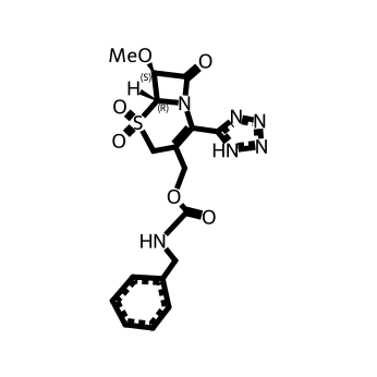 CO[C@H]1C(=O)N2C(c3nnn[nH]3)=C(COC(=O)NCc3ccccc3)CS(=O)(=O)[C@H]12